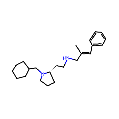 C/C(=C\c1ccccc1)CNCC[C@@H]1CCCN1CC1CCCCC1